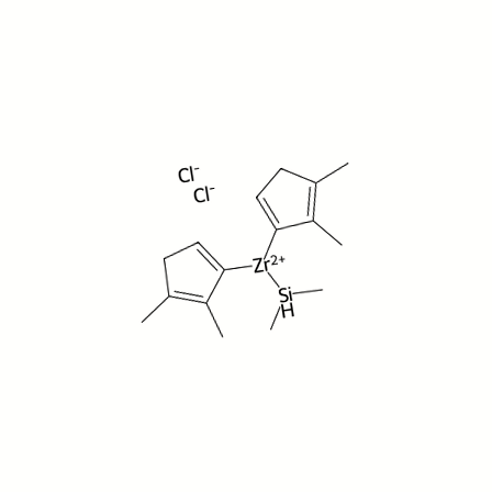 CC1=C(C)[C]([Zr+2]([C]2=CCC(C)=C2C)[SiH](C)C)=CC1.[Cl-].[Cl-]